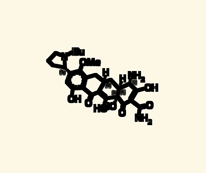 CCC(C)N1CCC[C@H]1c1cc(O)c2c(c1OC)C[C@H]1C[C@H]3[C@H](N)C(O)=C(C(N)=O)C(=O)[C@@]3(O)C(O)=C1C2=O